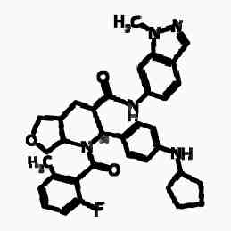 Cc1cccc(F)c1C(=O)N1C2COCC2CC(C(=O)Nc2ccc3cnn(C)c3c2)[C@H]1c1ccc(NC2CCCC2)cc1